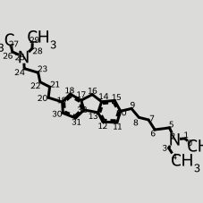 CCN(CC)CCCCCc1ccc2c(c1)Cc1cc(CCCCCN(CC)CC)ccc1-2